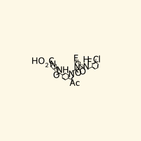 CC(=O)c1cn(CC(=O)N2C[C@H](F)C[C@H]2C(=O)NCc2cccc(Cl)c2F)c2cc(C(=O)N[C@H]3CCN(C(=O)O)C3)ccc12